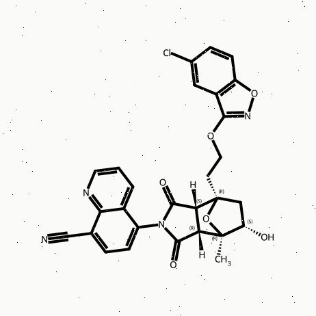 C[C@]12O[C@](CCOc3noc4ccc(Cl)cc34)(C[C@@H]1O)[C@H]1C(=O)N(c3ccc(C#N)c4ncccc34)C(=O)[C@H]12